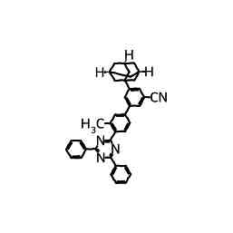 Cc1cc(-c2cc(C#N)cc(C34C[C@H]5C[C@@H](C3)C[C@@H](C4)C5)c2)ccc1-c1nc(-c2ccccc2)nc(-c2ccccc2)n1